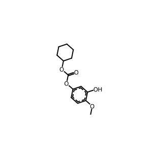 COc1ccc(OC(=O)OC2CCCCC2)cc1O